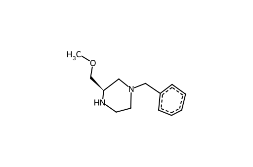 COC[C@H]1CN(Cc2ccccc2)CCN1